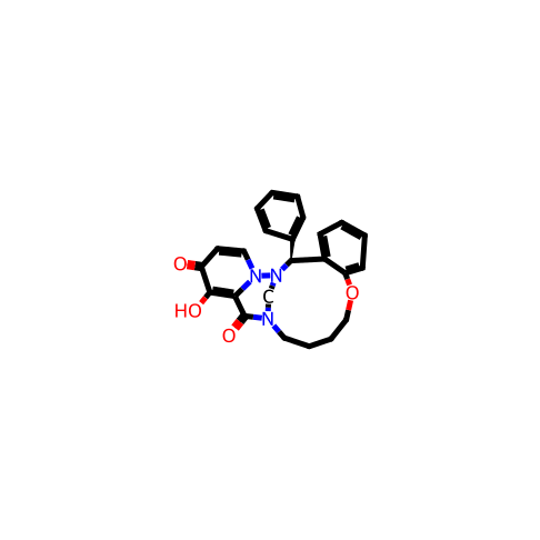 O=C1c2c(O)c(=O)ccn2N2CN1CCCCOc1ccccc1[C@@H]2c1ccccc1